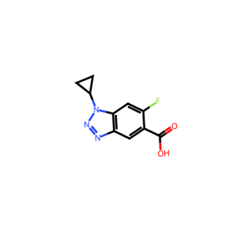 O=C(O)c1cc2nnn(C3CC3)c2cc1F